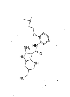 CN(C)CCOc1ccncc1NC(=O)C1C(N)NN2CC(CC#N)CNC12